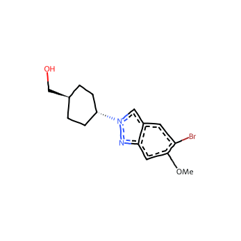 COc1cc2nn([C@H]3CC[C@H](CO)CC3)cc2cc1Br